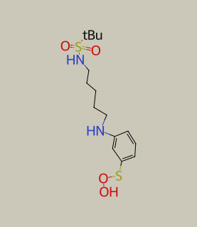 CC(C)(C)S(=O)(=O)NCCCCCNc1cccc(SOO)c1